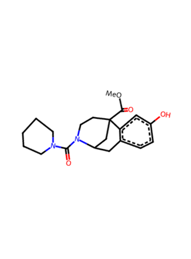 COC(=O)C12CCN(C(=O)N3CCCCC3)C(Cc3ccc(O)cc31)C2